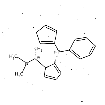 C[C@H](C1C=CC=C1[P@](C1=CCC=C1)c1ccccc1)N(C)C